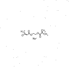 C=C(C)C(=O)OCCOC(=O)/C=C(\C)[O-].[Na+]